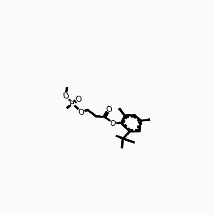 COP(C)(=O)OCCC(=O)Oc1c(C)cc(C)cc1C(C)(C)C